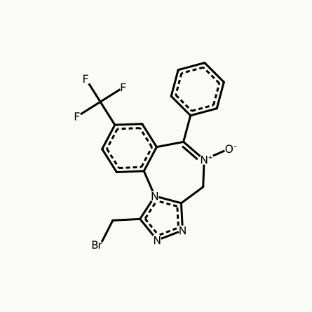 [O-][N+]1=C(c2ccccc2)c2cc(C(F)(F)F)ccc2-n2c(CBr)nnc2C1